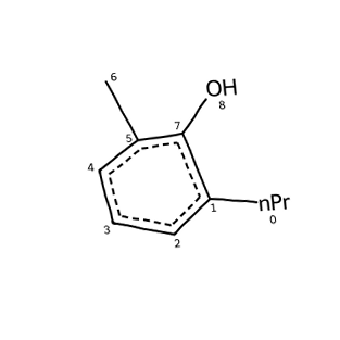 CCCc1cccc(C)c1O